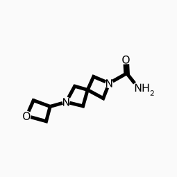 NC(=O)N1CC2(C1)CN(C1COC1)C2